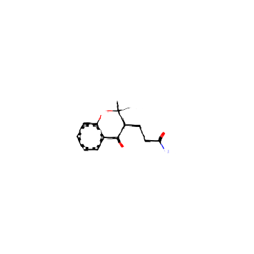 CC1(C)Oc2ccccc2C(=O)C1CCC(N)=O